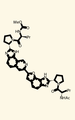 COC(=O)N[C@H](C(=O)N1CCC[C@H]1c1nc2ccc3cc(-c4cc5ccc6nc([C@@H]7CCCN7C(=O)[C@@H](NC(C)=O)C(C)C)[nH]c6c5o4)ncc3c2[nH]1)C(C)C